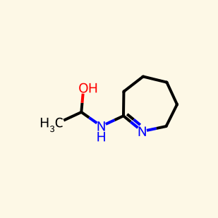 CC(O)NC1=NCCCCC1